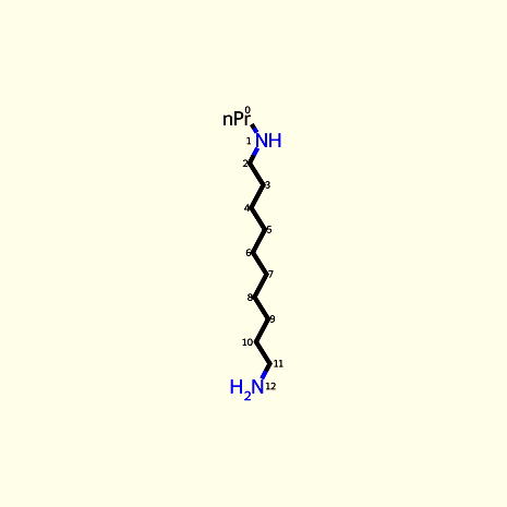 CCCNCCCCCCCCCCN